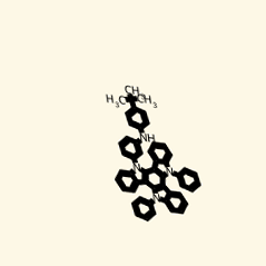 CC(C)(C)c1ccc(Nc2cccc(-n3c4ccccc4c4c5c(c6ccccc6n5-c5ccccc5)c5c(c6ccccc6n5-c5ccccc5)c43)c2)cc1